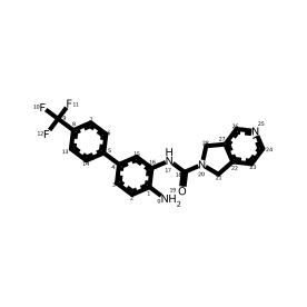 Nc1ccc(-c2ccc(C(F)(F)F)cc2)cc1NC(=O)N1Cc2ccncc2C1